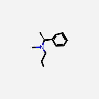 CCCN(C)[C@@H](C)c1ccccc1